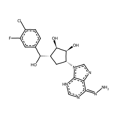 N/N=c1/nc[nH]c2c1ncn2[C@@H]1C[C@H](C(O)c2ccc(Cl)c(F)c2)[C@@H](O)[C@H]1O